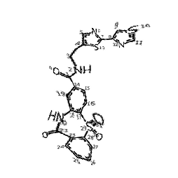 O=C(NCc1cnc(-c2cscn2)s1)c1ccc2c(c1)NC(=O)c1ccccc1S2(=O)=O